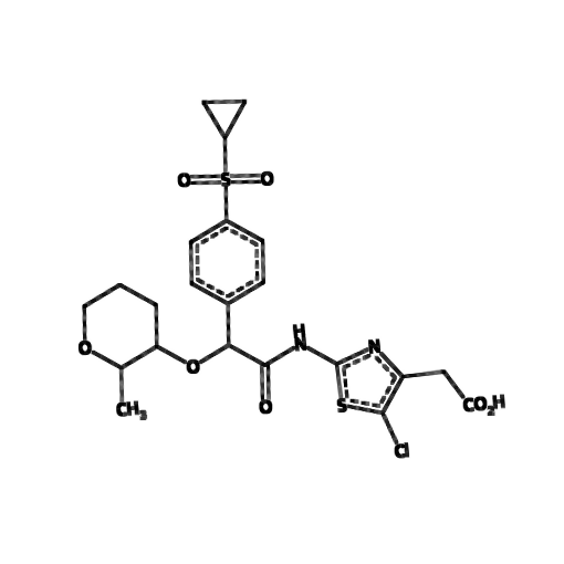 CC1OCCCC1OC(C(=O)Nc1nc(CC(=O)O)c(Cl)s1)c1ccc(S(=O)(=O)C2CC2)cc1